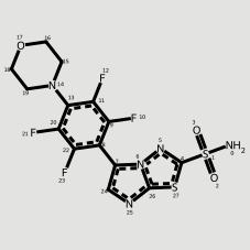 NS(=O)(=O)c1nn2c(-c3c(F)c(F)c(N4CCOCC4)c(F)c3F)cnc2s1